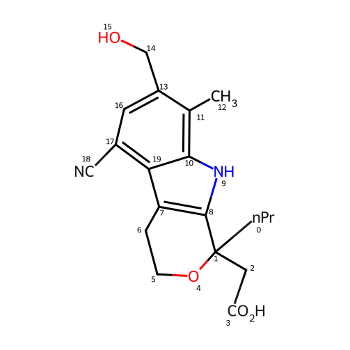 CCCC1(CC(=O)O)OCCc2c1[nH]c1c(C)c(CO)cc(C#N)c21